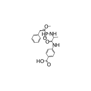 CO[C@H](Cc1ccccc1)[PH](=O)NC(C)C(=O)Nc1ccc(C(=O)O)cc1